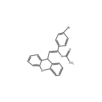 CC(=O)OC(=CC1c2ccccc2Oc2ccccc21)c1ccc(Br)cc1